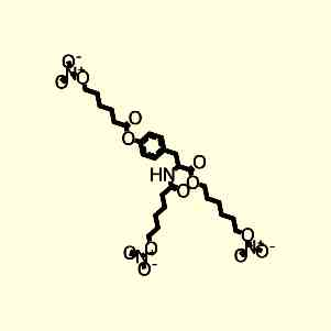 O=C(CCCCCO[N+](=O)[O-])NC(Cc1ccc(OC(=O)CCCCCO[N+](=O)[O-])cc1)C(=O)OCCCCCCO[N+](=O)[O-]